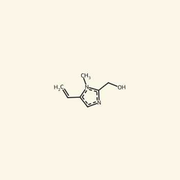 C=Cc1cnc(CO)n1C